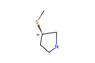 CS[C@@H]1CC[N]C1